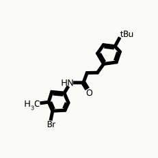 Cc1cc(NC(=O)CCc2ccc(C(C)(C)C)cc2)ccc1Br